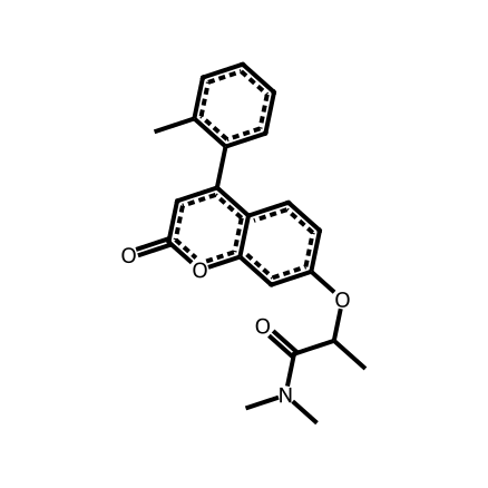 Cc1ccccc1-c1cc(=O)oc2cc(OC(C)C(=O)N(C)C)ccc12